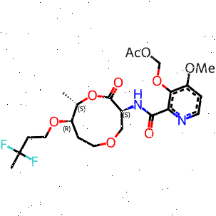 COc1ccnc(C(=O)N[C@H]2COCC[C@@H](OCCC(C)(F)F)[C@H](C)OC2=O)c1OCOC(C)=O